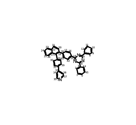 c1ccc(-c2nc(-c3ccccc3)nc(-c3ccc(-c4ccc5ccccc5c4-c4ccc(-c5ccncc5)cc4)cc3)n2)cc1